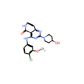 O=c1[nH]ccc2nc(N3CCC(O)CC3)nc(Nc3ccc(Cl)c(OC(F)(F)F)c3)c12